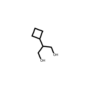 OCC(CO)C1CCC1